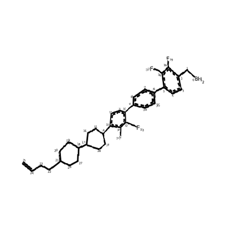 BCc1ccc(-c2ccc(-c3ccc(C4CCC(C5CCC(CCC=C)CC5)CC4)c(F)c3F)cc2)c(F)c1F